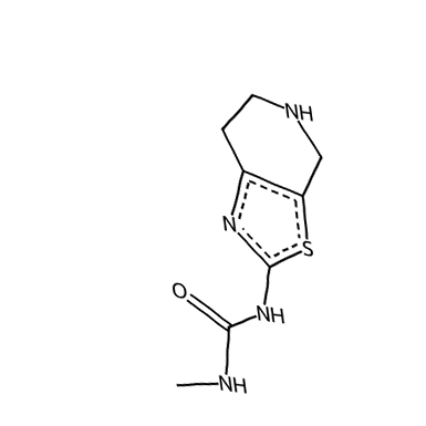 CNC(=O)Nc1nc2c(s1)CNCC2